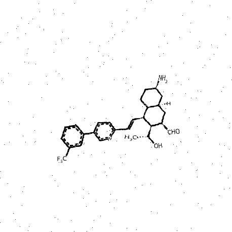 C[C@@H](O)[C@@H]1[C@H](C=O)C[C@@H]2C[C@H](N)CCC2[C@@H]1/C=C/c1ccc(-c2cccc(C(F)(F)F)c2)cn1